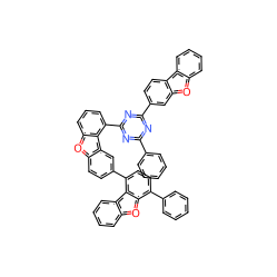 c1ccc(-c2nc(-c3ccc4c(c3)oc3ccccc34)nc(-c3cccc4oc5ccc(-c6ccc(-c7ccccc7)c7oc8ccccc8c67)cc5c34)n2)cc1